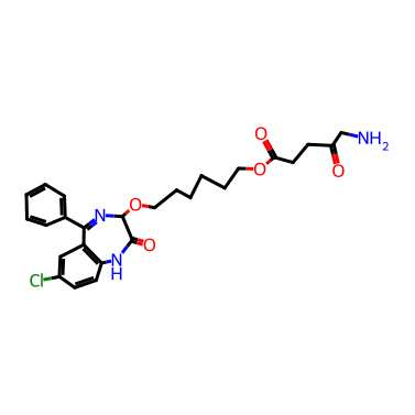 NCC(=O)CCC(=O)OCCCCCCOC1N=C(c2ccccc2)c2cc(Cl)ccc2NC1=O